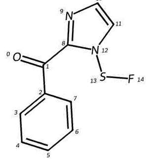 O=C(c1ccccc1)c1nccn1SF